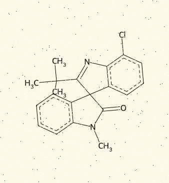 CN1C(=O)C2(C(C(C)(C)C)=Nc3c(Cl)cccc32)c2ccccc21